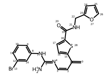 C=C(/C=C\N=C(/N)Nc1cccc(Br)c1)c1ccc(C(=O)NCc2ccco2)s1